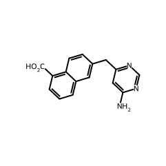 Nc1cc(Cc2ccc3c(C(=O)O)cccc3c2)ncn1